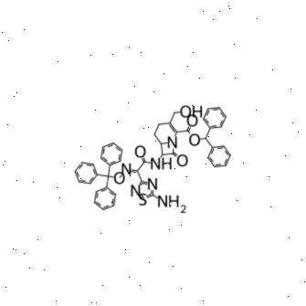 Nc1nc(/C(=N\OC(c2ccccc2)(c2ccccc2)c2ccccc2)C(=O)NC2C(=O)N3C(C(=O)OC(c4ccccc4)c4ccccc4)=C(CO)CCC23)ns1